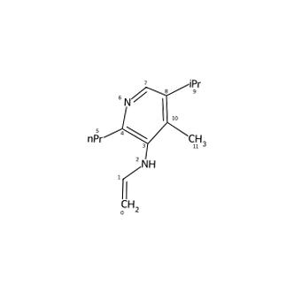 C=CNc1c(CCC)ncc(C(C)C)c1C